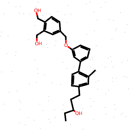 CCC(O)CCc1ccc(-c2cccc(OCc3ccc(CO)c(CO)c3)c2)c(C)c1